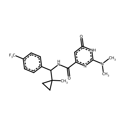 CN(C)c1nc(C(=O)NC(c2ccc(C(F)(F)F)cc2)C2(C)CC2)cc(=O)[nH]1